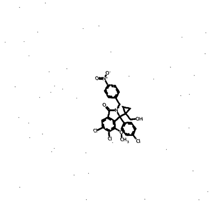 COc1c(Cl)c(Cl)cc2c1C(c1ccc(Cl)cc1)(C1(CO)CC1)N(Cc1ccc([N+](=O)[O-])cc1)C2=O